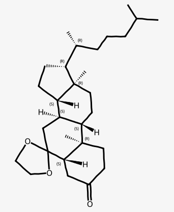 CC(C)CCC[C@@H](C)[C@H]1CC[C@H]2[C@@H]3CC4(OCCO4)[C@H]4CC(=O)CC[C@]4(C)[C@H]3CC[C@]12C